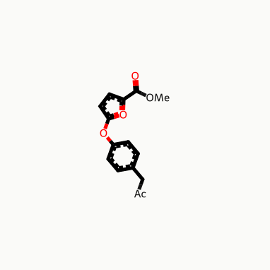 COC(=O)c1ccc(Oc2ccc(CC(C)=O)cc2)o1